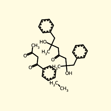 CC(=O)CC(=O)c1ccccc1.CC(O)(CC(=O)CC(C)(O)Cc1ccccc1)Cc1ccccc1.[CH2]C